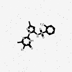 CCc1c(C)nc(-n2nc(C)cc2NS(=O)(=O)c2ccccc2C(F)(F)F)[nH]c1=O